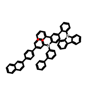 c1ccc(-c2cccc(N(c3cccc(-c4ccc(-c5ccc6ccccc6c5)cc4)c3)c3ccc(-c4ccccc4-n4c5ccccc5c5ccccc54)cc3-c3ccccc3)c2)cc1